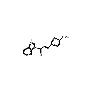 COc1ccc(C=CC(=O)c2c[nH]c3ccccc23)cc1